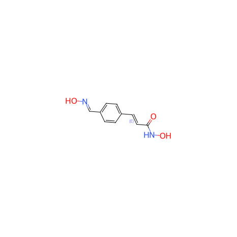 O=C(/C=C/c1ccc(C=NO)cc1)NO